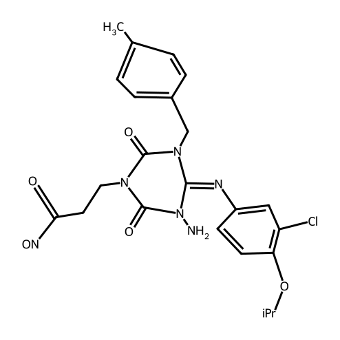 Cc1ccc(Cn2c(=O)n(CCC(=O)N=O)c(=O)n(N)/c2=N\c2ccc(OC(C)C)c(Cl)c2)cc1